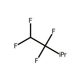 CC(C)C(F)(F)C(F)F